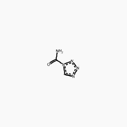 NC(=O)n1[c]nnn1